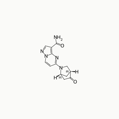 NC(=O)c1cnn2ccc(N3C[C@H]4C[C@@H]3CC4=O)nc12